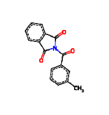 Cc1cccc(C(=O)N2C(=O)c3ccccc3C2=O)c1